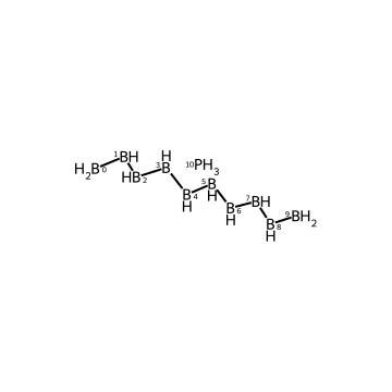 BBBBBBBBBB.P